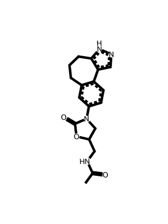 CC(=O)NCC1CN(c2ccc3c(c2)CCCc2[nH]ncc2-3)C(=O)O1